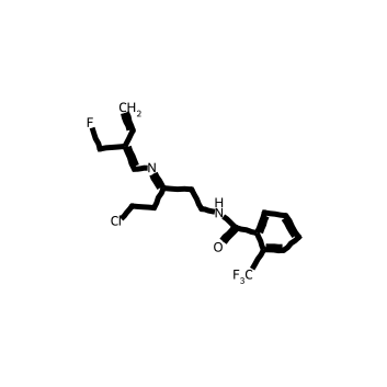 C=C/C(=C\N=C(/CCCl)CCNC(=O)c1ccccc1C(F)(F)F)CF